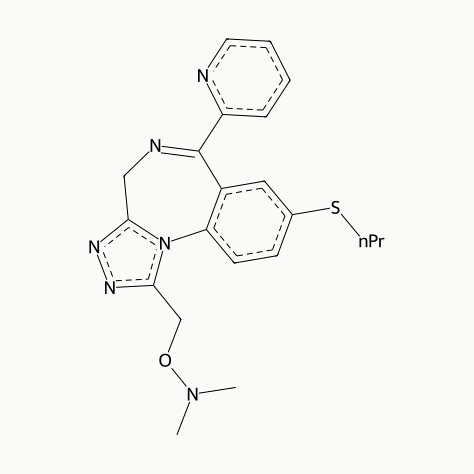 CCCSc1ccc2c(c1)C(c1ccccn1)=NCc1nnc(CON(C)C)n1-2